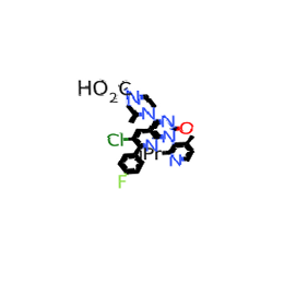 Cc1ccnc(C(C)C)c1-n1c(=O)nc(N2CCN(C(=O)O)CC2C)c2cc(Cl)c(-c3ccc(F)cc3)nc21